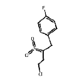 O=S(=O)=C(CCCl)Cc1ccc(F)cc1